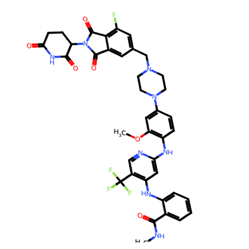 CNC(=O)c1ccccc1Nc1cc(Nc2ccc(N3CCN(Cc4cc(F)c5c(c4)C(=O)N(C4CCC(=O)NC4=O)C5=O)CC3)cc2OC)ncc1C(F)(F)F